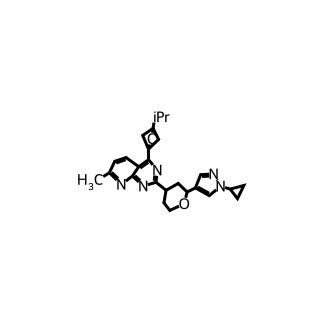 Cc1ccc2c(C34CC(C(C)C)(C3)C4)nc(C3CCOC(c4cnn(C5CC5)c4)C3)nc2n1